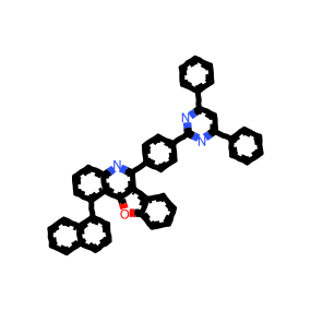 c1ccc(-c2cc(-c3ccccc3)nc(-c3ccc(-c4nc5cccc(-c6cccc7ccccc67)c5c5oc6ccccc6c45)cc3)n2)cc1